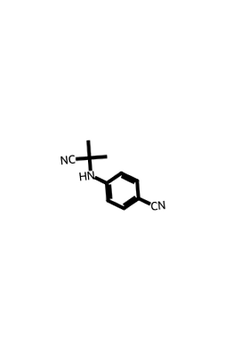 CC(C)(C#N)Nc1ccc(C#N)cc1